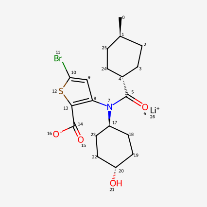 C[C@H]1CC[C@H](C(=O)N(c2cc(Br)sc2C(=O)[O-])[C@H]2CC[C@H](O)CC2)CC1.[Li+]